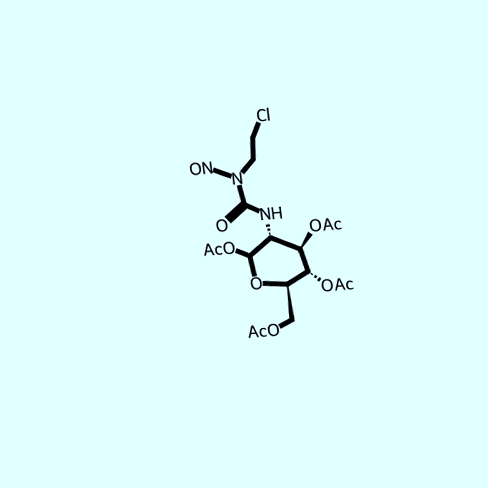 CC(=O)OC[C@H]1OC(OC(C)=O)[C@H](NC(=O)N(CCCl)N=O)[C@@H](OC(C)=O)[C@@H]1OC(C)=O